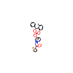 Cc1ccccc1C(OC(=O)OC1C[N+]2(CC(=O)c3cccs3)CCC1CC2)c1ccccc1